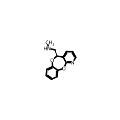 CNC[C@@H]1Oc2ccccc2Oc2ncccc21